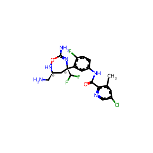 Cc1cc(Cl)cnc1C(=O)Nc1ccc(F)c([C@]2(C(F)F)C[C@@H](CN)NOC(N)=N2)c1